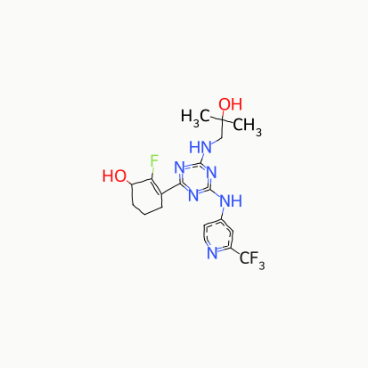 CC(C)(O)CNc1nc(Nc2ccnc(C(F)(F)F)c2)nc(C2=C(F)C(O)CCC2)n1